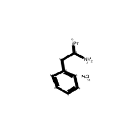 CC(C)C(N)Cc1ccccc1.Cl